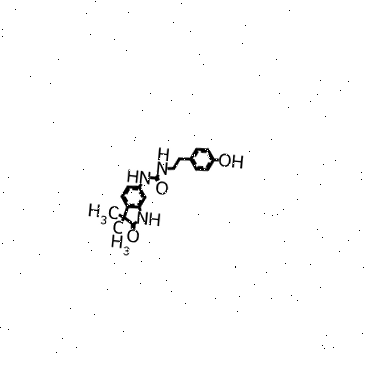 CC1(C)C(=O)Nc2cc(NC(=O)NCCc3ccc(O)cc3)ccc21